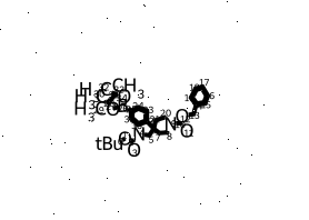 CC(C)(C)OC(=O)N1CC2(CCN(C(=O)OCc3ccccc3)CC2)c2ccc(B3OC(C)(C)C(C)(C)O3)cc21